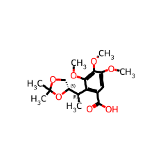 COc1cc(C(=O)O)c([C@@H](C)[C@H]2COC(C)(C)O2)c(OC)c1OC